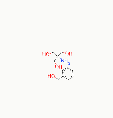 NC(CO)(CO)CO.OCc1ccccc1